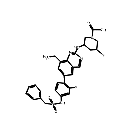 CCc1cc(-c2ccc(NS(=O)(=O)Cc3ccccc3)cc2F)cc2cnc(NC3CC(F)CN(C(=O)O)C3)nc12